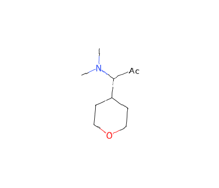 CC(=O)C(C1CCOCC1)N(C)C